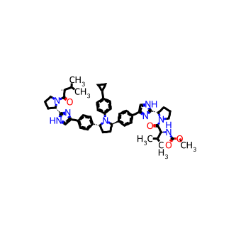 COC(=O)N[C@H](C(=O)N1CCC[C@H]1c1nc(-c2ccc([C@H]3CC[C@H](c4ccc(-c5c[nH]c([C@@H]6CCCN6C(=O)[CH]C(C)C)n5)cc4)N3c3ccc(C4CC4)cc3)cc2)c[nH]1)C(C)C